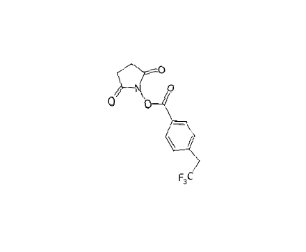 O=C(ON1C(=O)CCC1=O)c1ccc(CC(F)(F)F)cc1